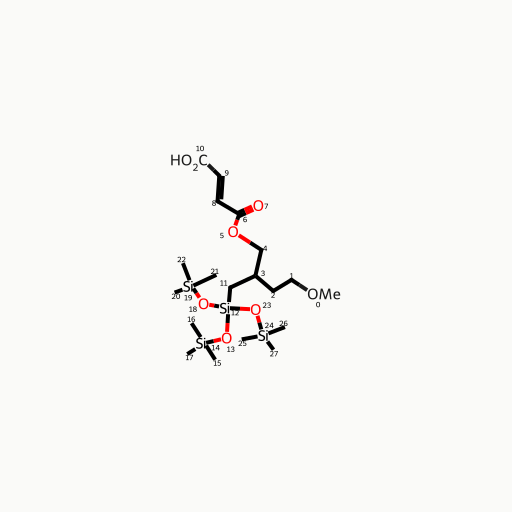 COCCC(COC(=O)/C=C/C(=O)O)C[Si](O[Si](C)(C)C)(O[Si](C)(C)C)O[Si](C)(C)C